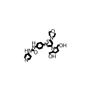 O=C(Nc1ccncc1)Nc1ccc(N2C=C(N3C(CO)CCC3CO)C=C(N3CCOCC3)S2)cc1